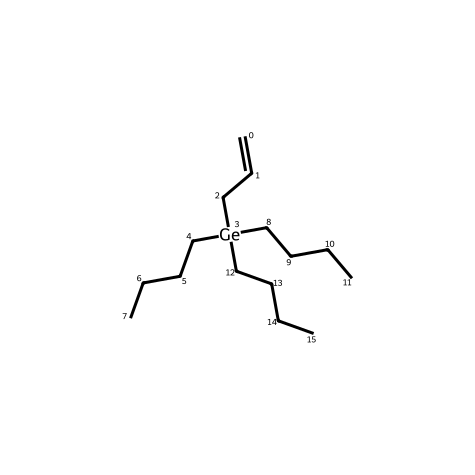 C=C[CH2][Ge]([CH2]CCC)([CH2]CCC)[CH2]CCC